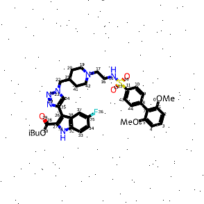 COc1cccc(OC)c1-c1ccc(S(=O)(=O)NCCN2CCC(Cn3cc(-c4c(C(=O)OCC(C)C)[nH]c5ccc(F)cc45)nn3)CC2)cc1